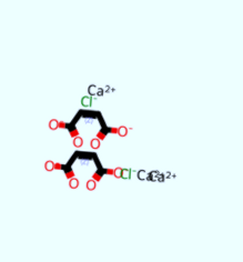 O=C([O-])/C=C\C(=O)[O-].O=C([O-])/C=C\C(=O)[O-].[Ca+2].[Ca+2].[Ca+2].[Cl-].[Cl-]